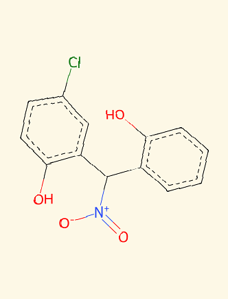 O=[N+]([O-])C(c1ccccc1O)c1cc(Cl)ccc1O